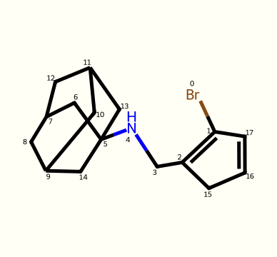 BrC1=C(CNC23CC4CC(CC(C4)C2)C3)CC=C1